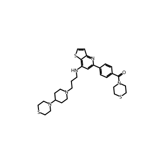 O=C(c1ccc(-c2cc(NCCCN3CCC(N4CCSCC4)CC3)c3sccc3n2)cc1)N1CCSCC1